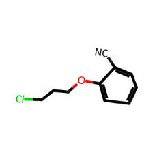 N#Cc1ccccc1OCCCCl